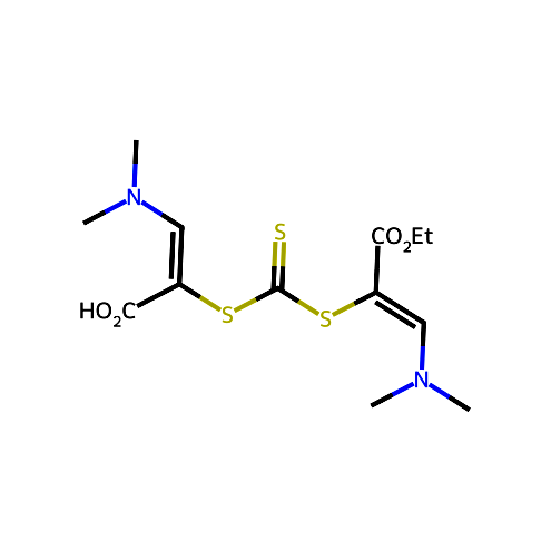 CCOC(=O)/C(=C/N(C)C)SC(=S)SC(=CN(C)C)C(=O)O